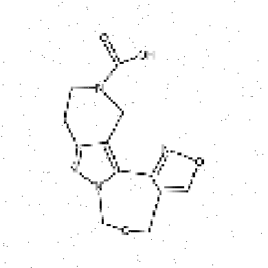 O=C(O)N1CCc2nn3c(c2C1)-c1nocc1CCC3